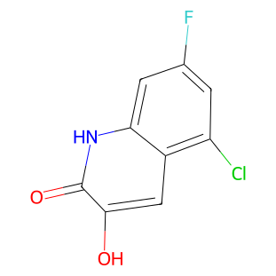 O=c1[nH]c2cc(F)cc(Cl)c2cc1O